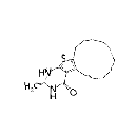 C=C1NC(=O)c2c(sc3c2CCCCCCCCCC3)N1